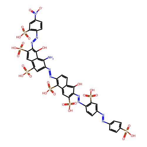 Nc1c(N=Nc2ccc3c(O)c(N=Nc4ccc(N=Nc5ccc(S(=O)(=O)O)cc5)cc4S(=O)(=O)O)c(S(=O)(=O)O)cc3c2S(=O)(=O)O)cc(S(=O)(=O)O)c2cc(S(=O)(=O)O)c(N=Nc3ccc([N+](=O)[O-])cc3S(=O)(=O)O)c(O)c12